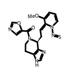 COC1=CC=CN(N=S)/C1=C\C[C@H]1c2nc[nH]c2CCN1C(=O)c1cnco1